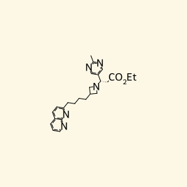 CCOC(=O)C[C@@H](c1cnc(C)nc1)N1CC(CCCCc2ccc3cccnc3n2)C1